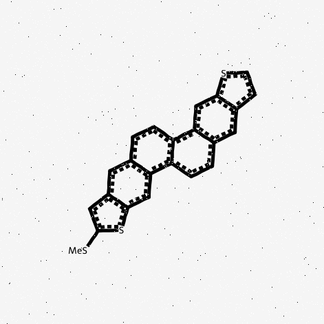 CSc1cc2cc3ccc4c5cc6sccc6cc5ccc4c3cc2s1